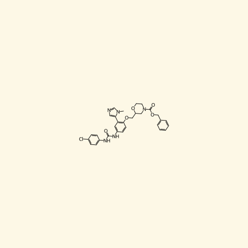 Cn1cncc1-c1cc(NC(=O)Nc2ccc(Cl)cc2)ccc1OCC1CN(C(=O)OCc2ccccc2)CCO1